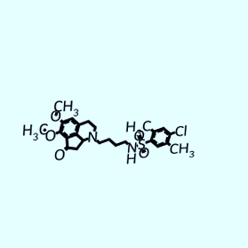 COc1cc2c3c(c1OC)C(=O)CC3N(CCCCNS(=O)(=O)c1cc(C)c(Cl)cc1C)CC2